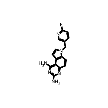 Nc1nc(N)c2c(ccc3c2ccn3Cc2ccc(F)nc2)n1